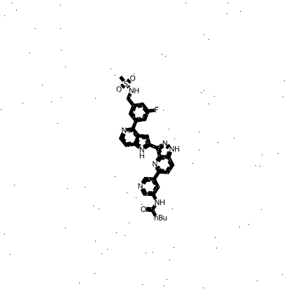 CCCCC(=O)Nc1cncc(-c2ccc3[nH]nc(-c4cc5c(-c6cc(F)cc(CNS(C)(=O)=O)c6)nccc5[nH]4)c3n2)c1